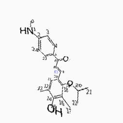 CNc1ccc(C(=O)/C=C/c2cc(C)c(O)c(C)c2OC(C)C)cc1